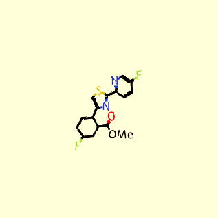 COC(=O)C1CC(F)CCC1c1csc(-c2ccc(F)cn2)n1